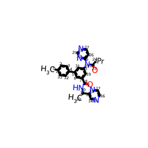 Cc1ccc(-c2cc(C(=O)NC(C)c3cnccn3)cc(N(C(=O)C(C)C)c3ccncn3)c2)cc1